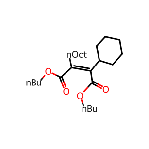 CCCCCCCC/C(C(=O)OCCCC)=C(/C(=O)OCCCC)C1CCCCC1